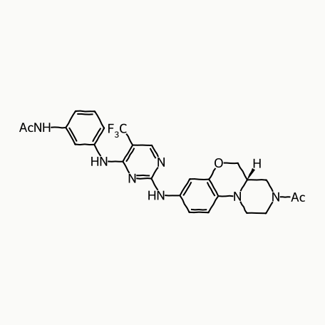 CC(=O)Nc1cccc(Nc2nc(Nc3ccc4c(c3)OC[C@@H]3CN(C(C)=O)CCN43)ncc2C(F)(F)F)c1